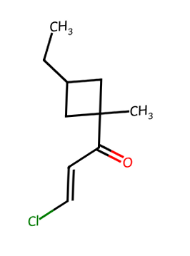 CCC1CC(C)(C(=O)C=CCl)C1